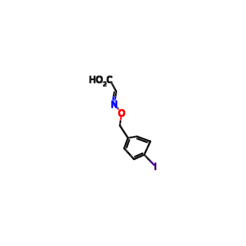 O=C(O)C=NOCc1ccc(I)cc1